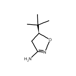 CC(C)(C)[C@@H]1CC(N)=NO1